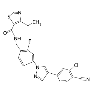 CCc1ncsc1C(=O)NCc1ccc(-n2cc(-c3ccc(C#N)c(Cl)c3)cn2)cc1F